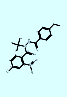 CCc1ccc(C(=O)NN(C(=O)c2ccc(Cl)cc2[N+](=O)[O-])C(C)(C)C)cc1